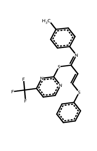 Cc1ccc(N=C(C=CSc2ccccc2)Sc2nccc(C(F)(F)F)n2)cc1